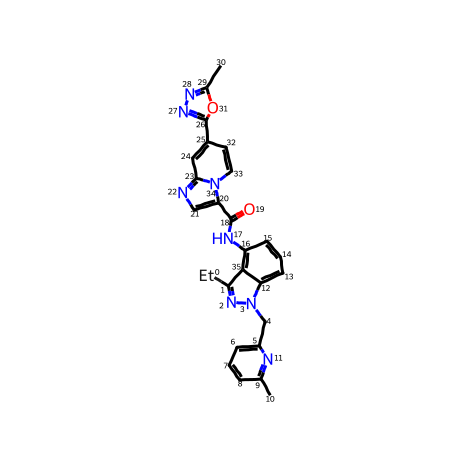 CCc1nn(Cc2cccc(C)n2)c2cccc(NC(=O)c3cnc4cc(-c5nnc(C)o5)ccn34)c12